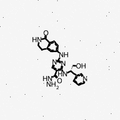 NNC(=O)c1cnc(Nc2ccc3c(c2)CCNC3=O)nc1N[C@H](CO)c1cccnc1